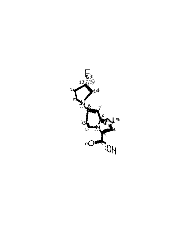 O=C(O)c1cnc2cc(N3CC[C@H](F)C3)ccn12